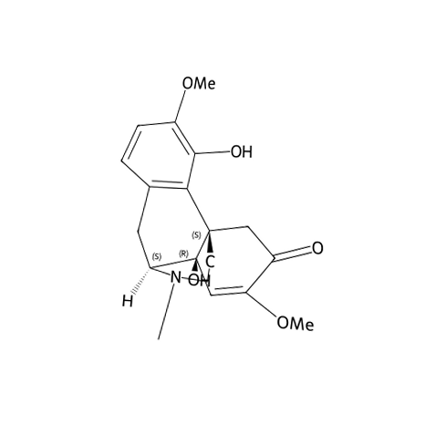 COC1=C[C@]2(O)[C@@H]3Cc4ccc(OC)c(O)c4[C@]2(CCN3C)CC1=O